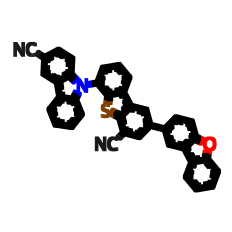 N#Cc1ccc2c(c1)c1ccccc1n2-c1cccc2c1sc1c(C#N)cc(-c3ccc4oc5ccccc5c4c3)cc12